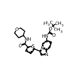 CC(C)(C)OC(=O)Nc1ccc2ncc(-c3ccc(C(=O)NC4CCOCC4)s3)n2c1